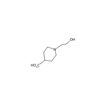 O=C(O)C1CCN(CCO)CC1